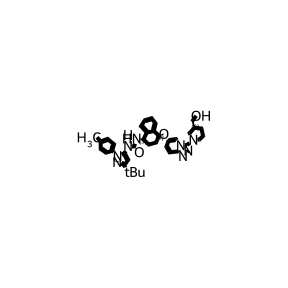 Cc1ccc(-n2nc(C(C)(C)C)cc2NC(=O)N[C@H]2CC[C@@H](Oc3ccc4nnc(N5CCC[C@H](CO)C5)n4c3)c3ccccc32)cc1